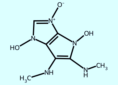 CNc1c(NC)n(O)c2c1n(O)c[n+]2[O-]